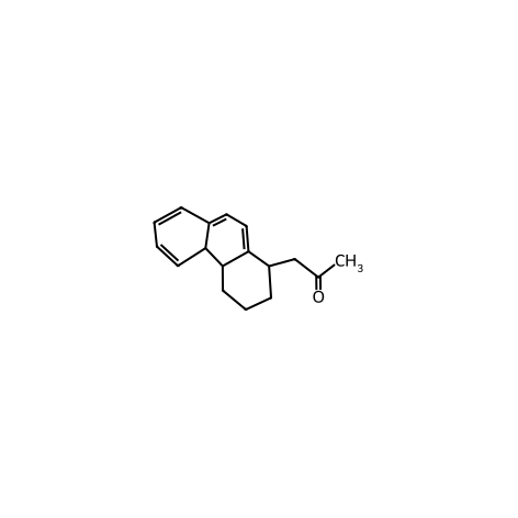 CC(=O)CC1CCCC2C1=CC=C1C=CC=CC12